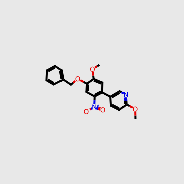 COc1ccc(-c2cc(OC)c(OCc3ccccc3)cc2[N+](=O)[O-])cn1